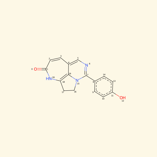 O=C1C=CC2=CN=C(c3ccc(O)cc3)N3CCC(=C23)N1